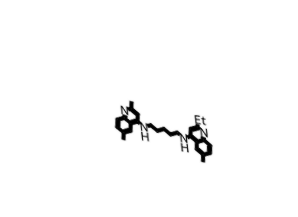 CCc1cc(NCCCCCNc2cc(C)nc3ccc(C)cc23)c2cc(C)ccc2n1